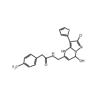 O=C(Cc1ccc(C(F)(F)F)cc1)NCC1=CC(O)n2nc(Cl)c(-c3cccs3)c2N1